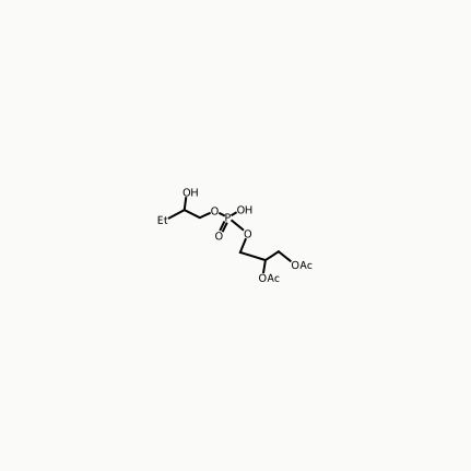 CCC(O)COP(=O)(O)OCC(COC(C)=O)OC(C)=O